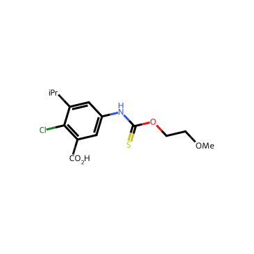 COCCOC(=S)Nc1cc(C(=O)O)c(Cl)c(C(C)C)c1